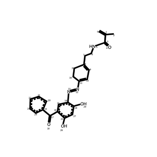 C=C(C)C(=O)NCCC1=CC=C(/N=N/c2cc(C(=O)c3ccccc3)c(O)cc2O)CC1